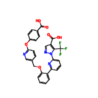 O=C(O)c1ccc(Oc2ccc(COc3ccccc3-c3cccc(-n4ncc(C(=O)O)c4C(F)(F)F)n3)cn2)cc1